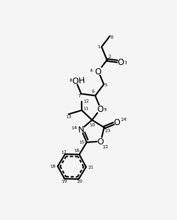 CCC(=O)OCC(CO)OC1(C(C)C)N=C(c2ccccc2)OC1=O